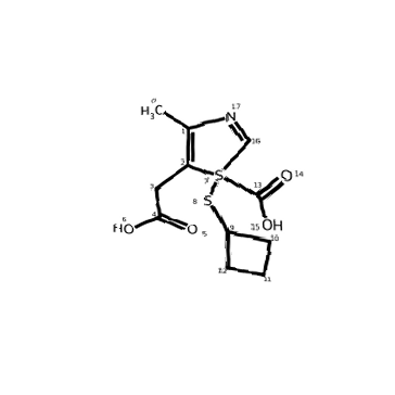 CC1=C(CC(=O)O)S(SC2CCC2)(C(=O)O)C=N1